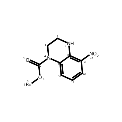 CC(C)(C)OC(=O)N1CCNc2c1cccc2[N+](=O)[O-]